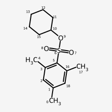 Cc1cc(C)c(S(=O)(=O)OC2CCCCC2)c(C)c1